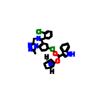 CN1[C@@H]2CC[C@H]1C[C@@H](OC(=O)c1c[nH]c3ccccc13)C2.Cc1nnc2n1-c1ccc(Cl)cc1C(c1ccccc1Cl)=NC2